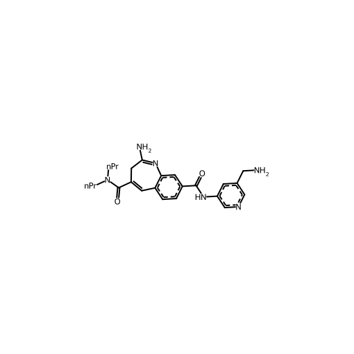 CCCN(CCC)C(=O)C1=Cc2ccc(C(=O)Nc3cncc(CN)c3)cc2N=C(N)C1